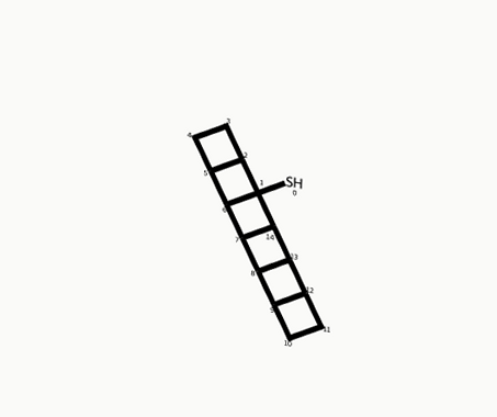 SC12C3CCC3C1C1C3C4CCC4C3C12